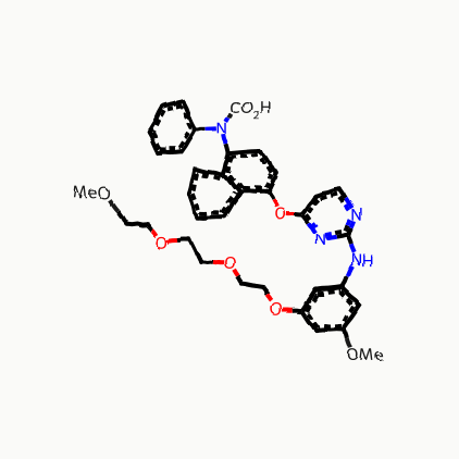 COCCOCCOCCOc1cc(Nc2nccc(Oc3ccc(N(C(=O)O)c4ccccc4)c4ccccc34)n2)cc(OC)c1